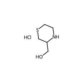 Cl.OCC1CSCCN1